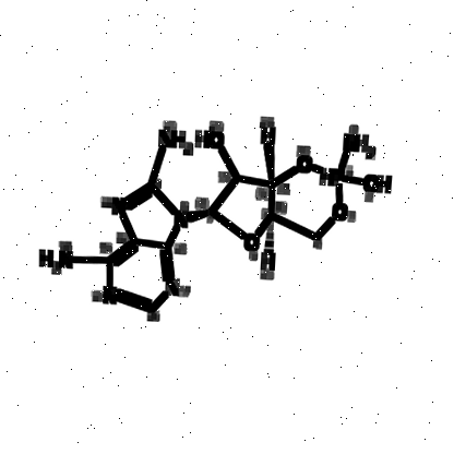 B[PH]1(O)OC[C@H]2O[C@@H](n3c(N)nc4c(N)ncnc43)C(O)[C@@H]2O1